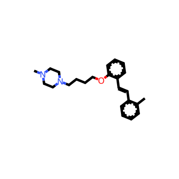 Cc1ccccc1C=Cc1ccccc1OCCCCN1CCN(C)CC1